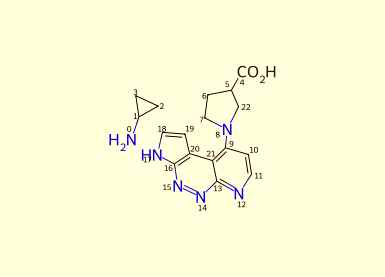 NC1CC1.O=C(O)C1CCN(c2ccnc3nnc4[nH]ccc4c23)C1